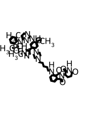 COc1cc(N2CCN(CCCCCNc3cccc4c3C(=O)N(C3CCC(=O)NC3=O)C4=O)CC2)c(-c2cnn(C)c2)cc1Nc1ncc(C)c(Nc2ccccc2P(C)(C)=O)n1